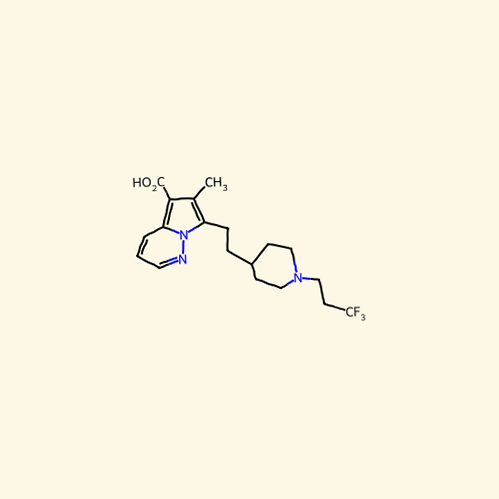 Cc1c(C(=O)O)c2cccnn2c1CCC1CCN(CCC(F)(F)F)CC1